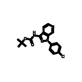 CC(C)(C)OC(=O)Nc1nn(-c2ccc(Cl)cc2)c2cnccc12